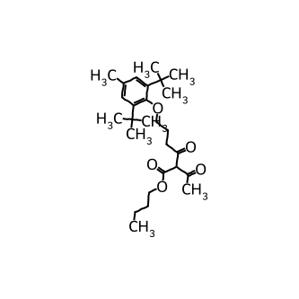 CCCCOC(=O)C(C(C)=O)C(=O)CCCOc1c(C(C)(C)C)cc(C)cc1C(C)(C)C